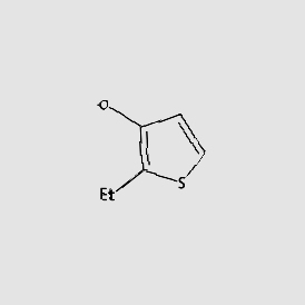 CCc1sccc1[O]